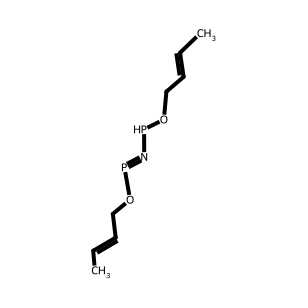 CC=CCOP=NPOCC=CC